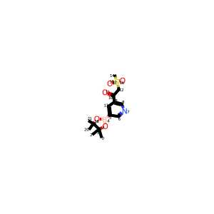 CC1(C)OB(c2cncc(C(=O)CS(C)(=O)=O)c2)OC1(C)C